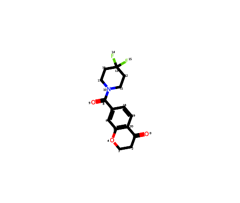 O=C1CCOc2cc(C(=O)N3CCC(F)(F)CC3)ccc21